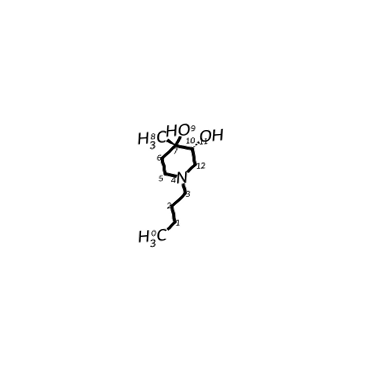 CCCCN1CC[C@](C)(O)[C@H](O)C1